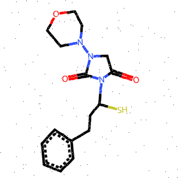 O=C1CN(N2CCOCC2)C(=O)N1C(S)CCc1ccccc1